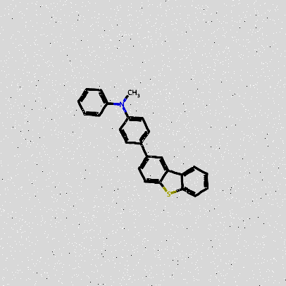 CN(c1ccccc1)c1ccc(-c2ccc3sc4ccccc4c3c2)cc1